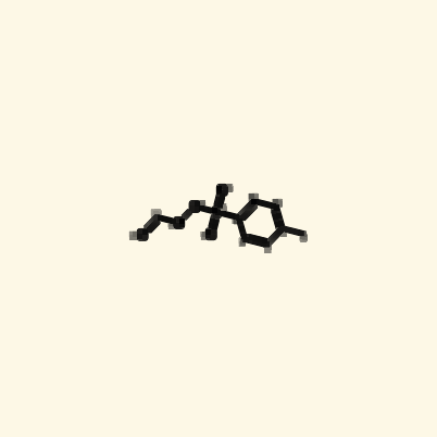 Cc1ccc(S(=O)(=O)OOC=O)cc1